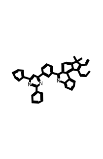 C=CC1=C(/C=C\C)c2c(ccc3c(-c4cccc(-c5cc(-c6ccccc6)nc(-c6ccccc6)n5)c4)nc4ccccc4c23)C1(C)C